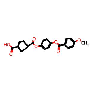 COc1ccc(C(=O)Oc2ccc(OC(=O)C3CCC(C(=O)O)CC3)cc2)cc1